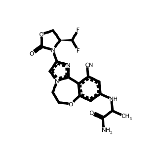 CC(Nc1cc(C#N)c2c(c1)OCCn1cc(N3C(=O)OC[C@H]3C(F)F)nc1-2)C(N)=O